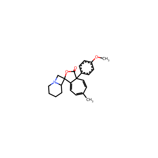 COc1ccc(C23C=CC(C)=CC=C2C2(CN4CCCCC42)OC3=O)cc1